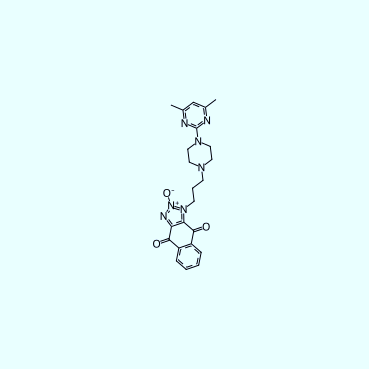 Cc1cc(C)nc(N2CCN(CCCn3c4c(n[n+]3[O-])C(=O)c3ccccc3C4=O)CC2)n1